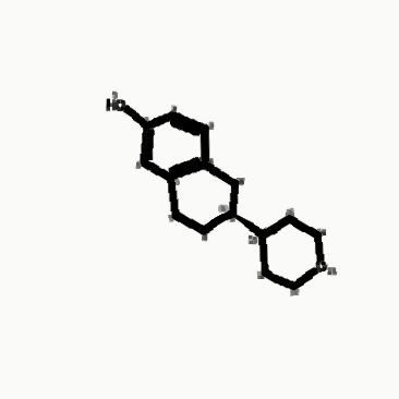 Oc1ccc2c(c1)CC[C@H](C1CCOCC1)C2